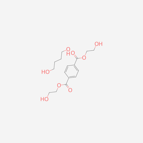 O=C(OCCO)c1ccc(C(=O)OCCO)cc1.OCCCCO